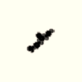 CCC1(COc2ccc(C(=O)Oc3ccc(OC(=O)c4ccc(OC)cc4)c4c3C3CCC4C3)cc2)COC1